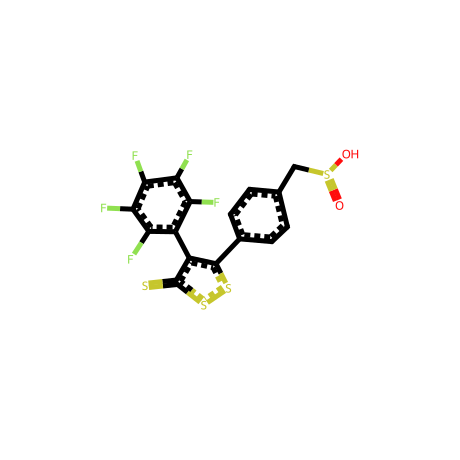 O=S(O)Cc1ccc(-c2ssc(=S)c2-c2c(F)c(F)c(F)c(F)c2F)cc1